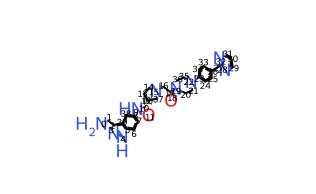 NCc1n[nH]c2ccc(NC(=O)[C@@H]3CCN(CC(=O)N4CCN(c5ccc(-c6ncccn6)cc5)CC4)C3)cc12